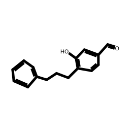 O=Cc1ccc(CCCc2ccccc2)c(O)c1